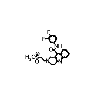 CS(=O)(=O)CCN1CCc2nc3ccccc3c(C(=O)Nc3ccc(F)c(F)c3)c2C1